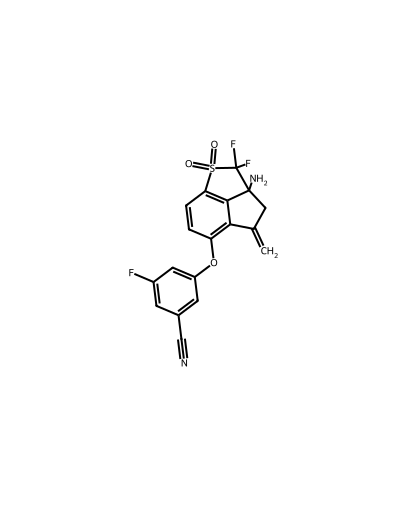 C=C1CC2(N)c3c(ccc(Oc4cc(F)cc(C#N)c4)c31)S(=O)(=O)C2(F)F